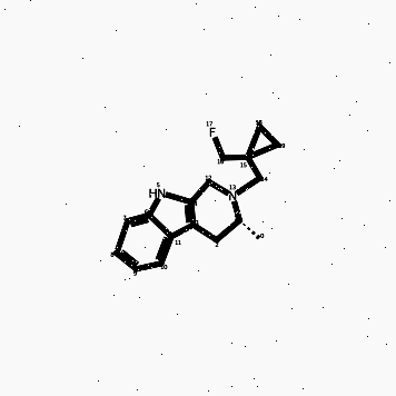 C[C@@H]1Cc2c([nH]c3ccccc23)CN1CC1(CF)CC1